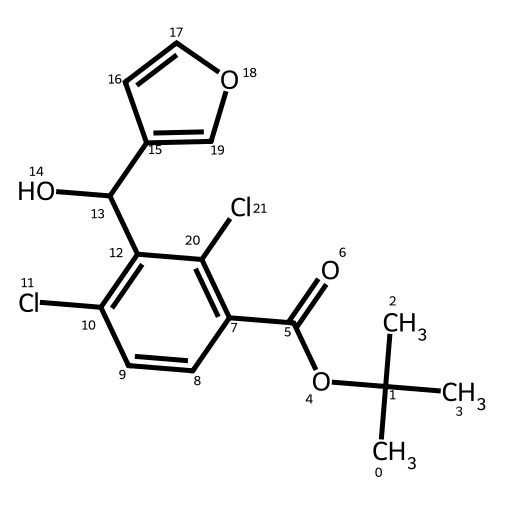 CC(C)(C)OC(=O)c1ccc(Cl)c(C(O)c2ccoc2)c1Cl